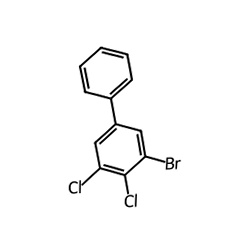 Clc1cc(-c2ccccc2)cc(Br)c1Cl